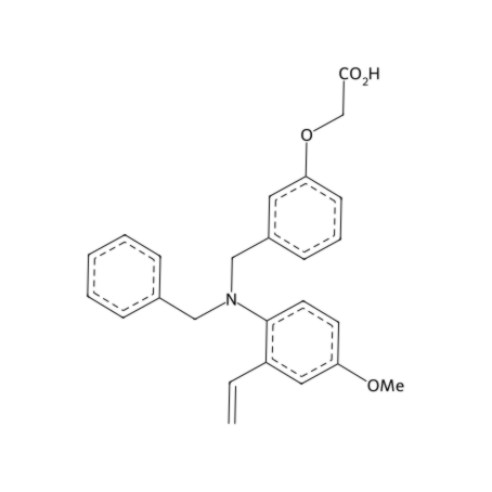 C=Cc1cc(OC)ccc1N(Cc1ccccc1)Cc1cccc(OCC(=O)O)c1